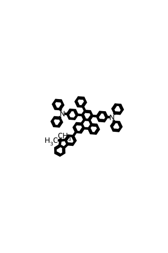 CC1(C)c2ccccc2-c2ccc(-c3ccc4c(c3)c3ccccc3c3c(-c5ccc(N(c6ccccc6)c6ccccc6)cc5)cc(-c5ccccc5)c(C5=CC=C(N(c6ccccc6)c6ccccc6)CC5)c43)cc21